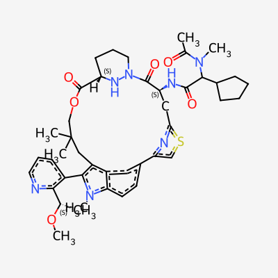 CO[C@@H](C)c1ncccc1-c1c2c3cc(ccc3n1C)-c1csc(n1)C[C@H](NC(=O)C(C1CCCC1)N(C)C(C)=O)C(=O)N1CCC[C@H](N1)C(=O)OCC(C)(C)C2